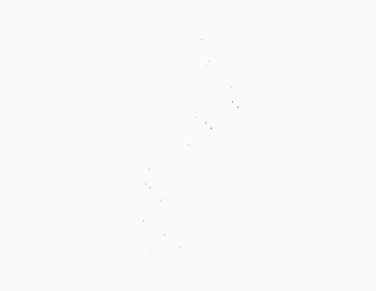 CN(C(=O)OC(C)(C)C)C1CCC(Oc2ncnc3sc4c(c23)CCC4)CC1